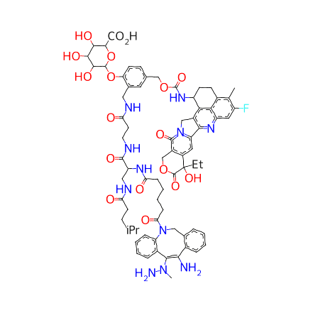 CCC1(O)C(=O)OCc2c1cc1n(c2=O)Cc2c-1nc1cc(F)c(C)c3c1c2C(NC(=O)OCc1ccc(OC2OC(C(=O)O)C(O)C(O)C2O)c(CNC(=O)CCNC(=O)C(CNC(=O)CCC(C)C)NC(=O)CCCCC(=O)N2Cc4ccccc4/C(N)=C(/N(C)N)c4ccccc42)c1)CC3